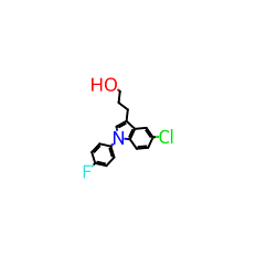 OCCCc1cn(-c2ccc(F)cc2)c2ccc(Cl)cc12